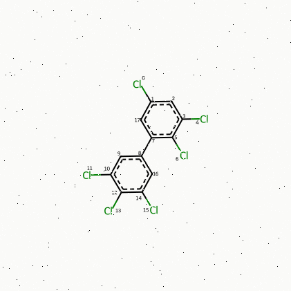 Clc1cc(Cl)c(Cl)c(-c2cc(Cl)c(Cl)c(Cl)c2)c1